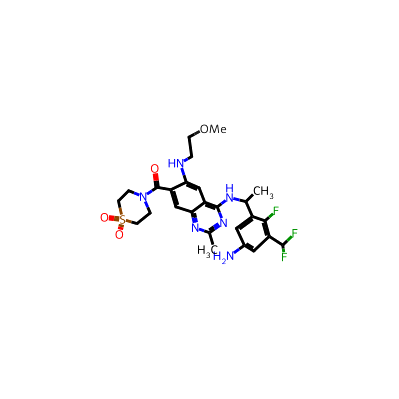 COCCNc1cc2c(NC(C)c3cc(N)cc(C(F)F)c3F)nc(C)nc2cc1C(=O)N1CCS(=O)(=O)CC1